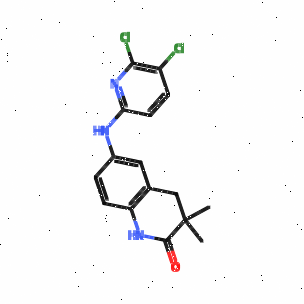 CC1(C)Cc2cc(Nc3ccc(Cl)c(Cl)n3)ccc2NC1=O